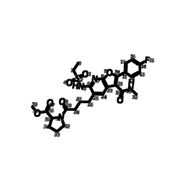 CCS(=O)(=O)Nc1nc2oc(-c3ccc(F)cc3)c(C(=O)NC)c2cc1CCCC(=O)N1CCCC1C(=O)OC